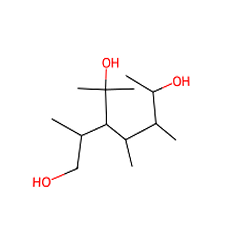 CC(O)C(C)C(C)C(C(C)CO)C(C)(C)O